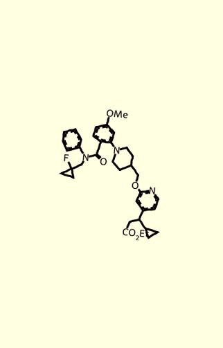 CCOC(=O)CC(c1ccnc(OCC2CCN(c3cc(OC)ccc3C(=O)N(CC3(F)CC3)c3ccccc3)CC2)c1)C1CC1